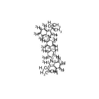 [2H]c1c([2H])c(-n2c([2H])c(C(C)(C)C)c3c([2H])c([2H])c([2H])c([2H])c32)c([2H])c([2H])c1-c1c([2H])c([2H])c(-n2c([2H])c(C(C)(C)C)c3c([2H])c([2H])c([2H])c([2H])c32)c([2H])c1[2H]